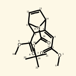 COC(=O)/C=C1\C(C(=O)OC)C2C=CC1N2C(=O)OC(C)(C)C